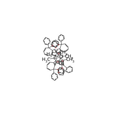 CC1=CC2=C(C=CC=CC2(c2ccccc2)c2ccccc2)[C]12C(C)[C]1(C(C)=CC3=C1C=CC=CC3(c1ccccc1)c1ccccc1)[Zr]21([Cl])([Cl])[C]2(C(C)=CC3=C2C=CC=CC3(c2ccccc2)c2ccccc2)C(C)[C]12C(C)=CC1=C2C=CC=CC1(c1ccccc1)c1ccccc1